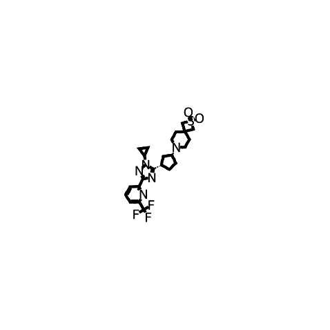 O=S1(=O)CC2(CCN([C@@H]3CC[C@H](c4nc(-c5cccc(C(F)(F)F)n5)nn4C4CC4)C3)CC2)C1